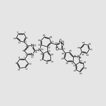 c1ccc(-c2cc(-c3ccccc3)nc(-n3c4ccccc4c4c(-c5nnc(-c6ccc7c8ccccc8n(-c8ccccc8)c7c6)o5)cccc43)n2)cc1